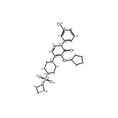 O=c1c(OC2CCCC2)c(N2CCN(S(=O)(=O)N3CCC3)CC2)cnn1-c1cccc(Cl)c1